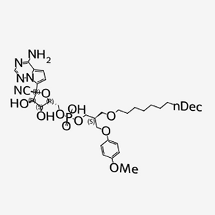 CCCCCCCCCCCCCCCCCOC[C@@H](COc1ccc(OC)cc1)COP(=O)(O)OC[C@H]1O[C@@](C#N)(c2ccc3c(N)ncnn23)[C@H](O)[C@@H]1O